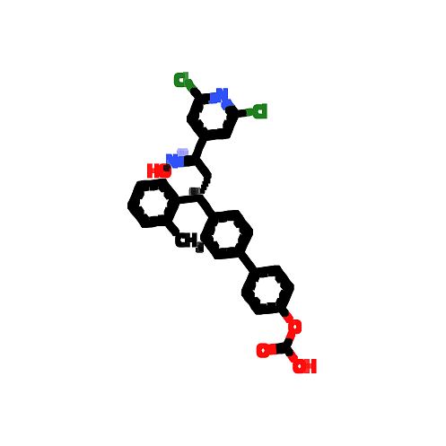 Cc1ccccc1[C@H](C/C(=N\O)c1cc(Cl)nc(Cl)c1)c1ccc(-c2ccc(OC(=O)O)cc2)cc1